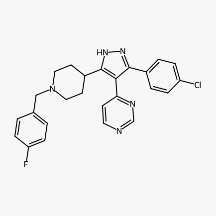 Fc1ccc(CN2CCC(c3[nH]nc(-c4ccc(Cl)cc4)c3-c3ccncn3)CC2)cc1